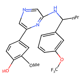 CCCC(Nc1cncc(-c2ccc(O)c(OC)c2)n1)c1cccc(OC(F)(F)F)c1